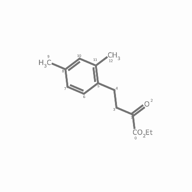 CCOC(=O)C(=O)CCc1ccc(C)cc1C